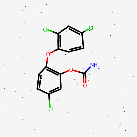 NC(=O)Oc1cc(Cl)ccc1Oc1ccc(Cl)cc1Cl